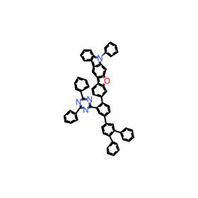 c1ccc(-c2nc(-c3ccccc3)nc(-c3cc(-c4ccc(-c5ccccc5)c(-c5ccccc5)c4)ccc3-c3ccc4c(c3)oc3cc5c(cc34)c3ccccc3n5-c3ccccc3)n2)cc1